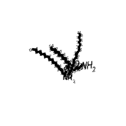 CCCCCCCCCCCCCCCCCC(N)OC(=O)[C@H](CCCCN)N(C(=O)CCCCCCCCCCC)C(=O)CCCCCCCCCCC